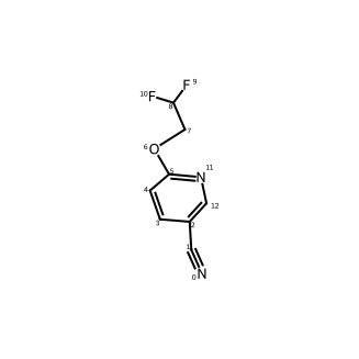 N#Cc1ccc(OCC(F)F)nc1